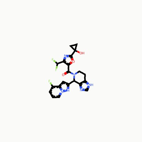 O=C(c1oc(C2(O)CC2)nc1C(F)F)N1CCc2[nH]cnc2C1c1cc2c(F)cccn2n1